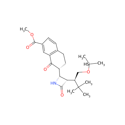 COC(=O)c1ccc2c(c1)C(=O)[C@@H]([C@H]1NC(=O)[C@H]1[C@@H](CO[SiH](C)C)C(C)(C)C)CC2